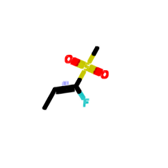 C/C=C(\F)S(C)(=O)=O